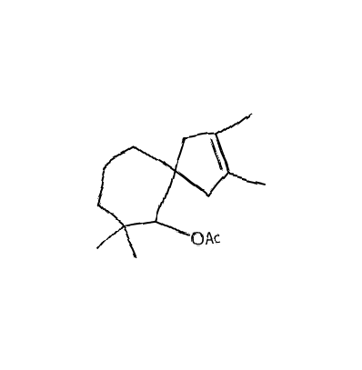 CC(=O)OC1C(C)(C)CCCC12CC(C)=C(C)C2